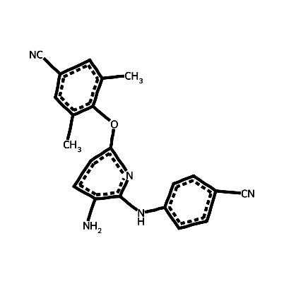 Cc1cc(C#N)cc(C)c1Oc1ccc(N)c(Nc2ccc(C#N)cc2)n1